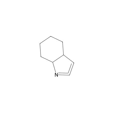 C1=CC2CCCCC2N=1